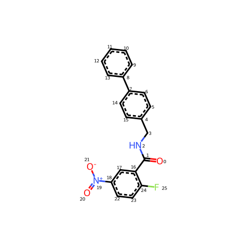 O=C(NCc1ccc(-c2ccccc2)cc1)c1cc([N+](=O)[O-])ccc1F